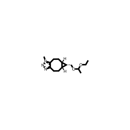 CCOC(C)OC[C@@H]1[C@@H]2CCc3nnn(C)c3CC[C@@H]21